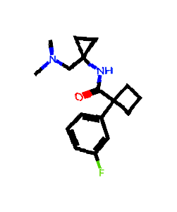 CN(C)CC1(NC(=O)C2(c3cccc(F)c3)CCC2)CC1